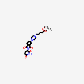 COC(CCCCN1CCN(c2ccc3c(c2)C(=O)N(C2CCC(=O)NC2=O)C3=O)CC1)OC